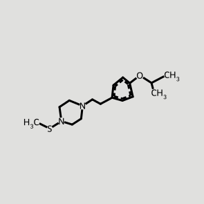 CSN1CCN(CCc2ccc(OC(C)C)cc2)CC1